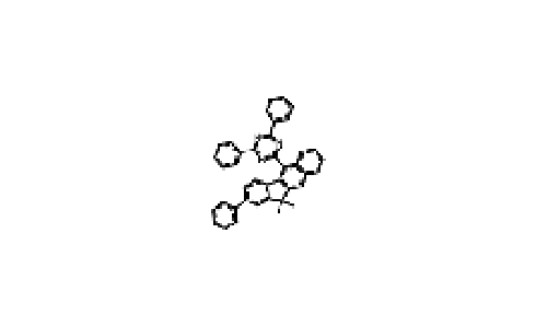 CC1(C)c2cc(-c3ccccc3)ccc2-c2c1cc1ccccc1c2-c1nc(-c2ccccc2)nc(-c2ccccc2)n1